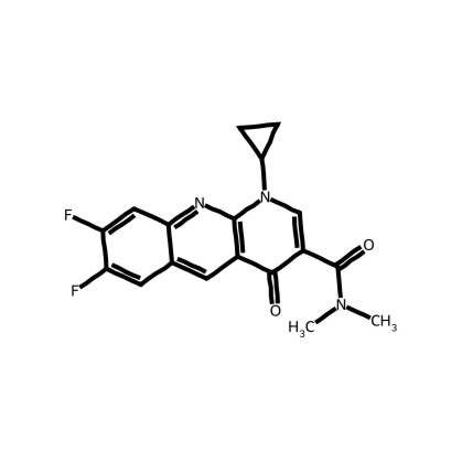 CN(C)C(=O)c1cn(C2CC2)c2nc3cc(F)c(F)cc3cc2c1=O